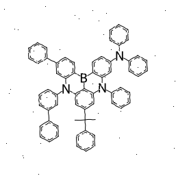 CC(C)(c1ccccc1)c1cc2c3c(c1)N(c1ccccc1)c1cc(N(c4ccccc4)c4ccccc4)ccc1B3c1ccc(-c3ccccc3)cc1N2c1cccc(-c2ccccc2)c1